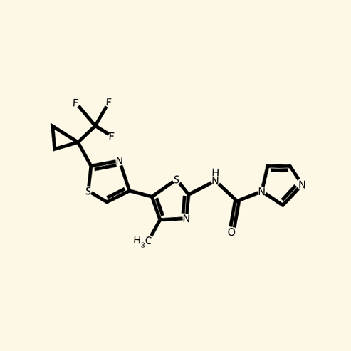 Cc1nc(NC(=O)n2ccnc2)sc1-c1csc(C2(C(F)(F)F)CC2)n1